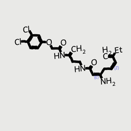 C=C(/C=C\C/C(N)=C\C(=O)NCCC(=C)NC(=O)COc1ccc(Cl)c(Cl)c1)CC